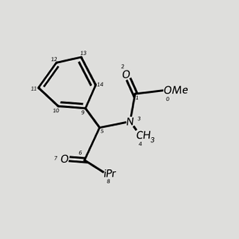 COC(=O)N(C)C(C(=O)C(C)C)c1ccccc1